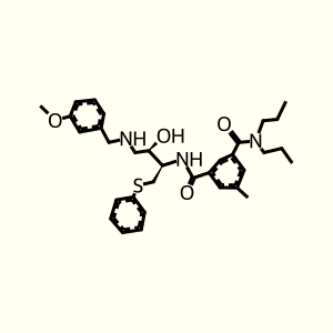 CCCN(CCC)C(=O)c1cc(C)cc(C(=O)N[C@@H](CSc2ccccc2)[C@H](O)CNCc2cccc(OC)c2)c1